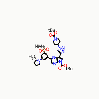 CNS(=O)(=O)c1cc(-c2cnc3c(n2)c(-c2cn(C4CCN(C(=O)OC(C)(C)C)CC4)nn2)cn3C(=O)OC(C)(C)C)cc(N2CCC[C@H]2C)c1